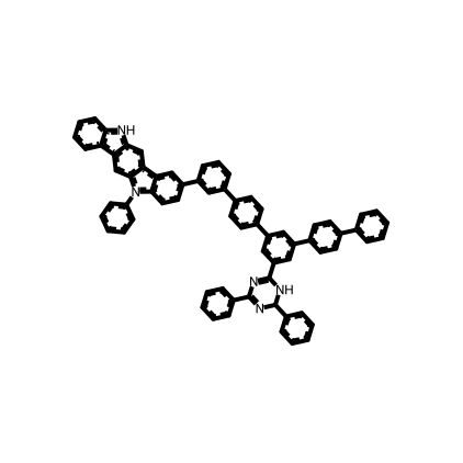 c1ccc(C2=NC(c3ccccc3)NC(c3cc(-c4ccc(-c5ccccc5)cc4)cc(-c4ccc(-c5cccc(-c6ccc7c(c6)c6cc8[nH]c9ccccc9c8cc6n7-c6ccccc6)c5)cc4)c3)=N2)cc1